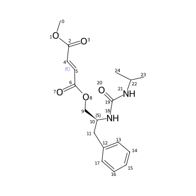 COC(=O)/C=C/C(=O)OC[C@H](Cc1ccccc1)NC(=O)NC(C)C